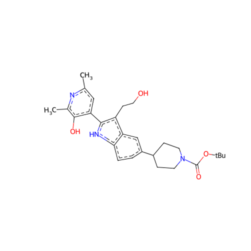 Cc1cc(-c2[nH]c3ccc(C4CCN(C(=O)OC(C)(C)C)CC4)cc3c2CCO)c(O)c(C)n1